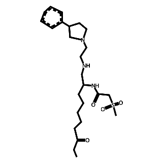 CCC(=O)CCCCCC(CNCCN1CCC(c2ccccc2)C1)NC(=O)CS(C)(=O)=O